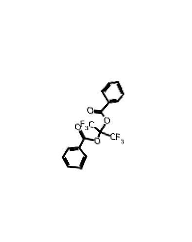 O=C(OC(OC(=O)c1ccccc1)(C(F)(F)F)C(F)(F)F)c1ccccc1